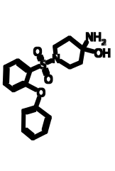 NC1(O)CCN(S(=O)(=O)c2ccccc2Oc2ccccc2)CC1